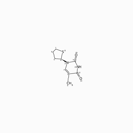 Cc1cn([C@H]2CCCS2)c(=O)[nH]c1=O